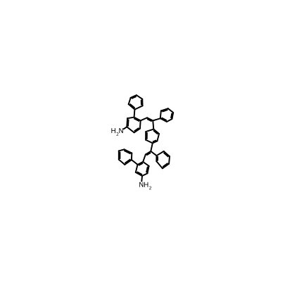 Nc1ccc(C=C(c2ccccc2)c2ccc(C(=Cc3ccc(N)cc3-c3ccccc3)c3ccccc3)cc2)c(-c2ccccc2)c1